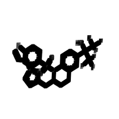 C=CCn1ccc(CC2CCc3cc(C(O)(C(F)(F)F)C(F)(F)F)ccc3N2S(=O)(=O)c2ccc(F)cc2)n1